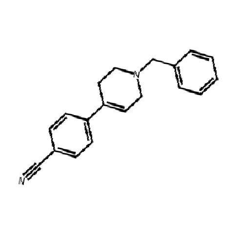 N#Cc1ccc(C2=CCN(Cc3ccccc3)CC2)cc1